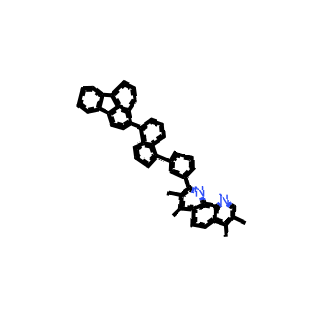 Cc1cnc2c(ccc3c(C)c(C)c(-c4cccc(-c5cccc6c(-c7ccc8c9c(cccc79)-c7ccccc7-8)cccc56)c4)nc32)c1C